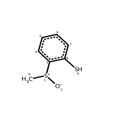 C[S+]([O-])c1ccccc1S